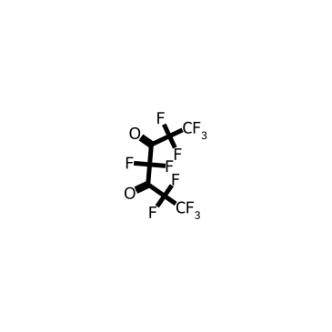 O=C(C(F)(F)C(=O)C(F)(F)C(F)(F)F)C(F)(F)C(F)(F)F